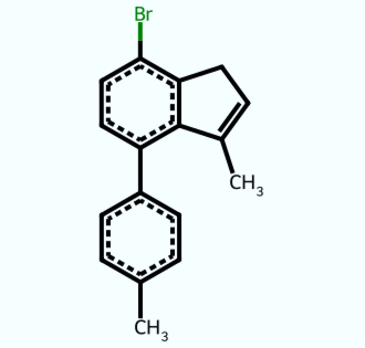 CC1=CCc2c(Br)ccc(-c3ccc(C)cc3)c21